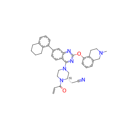 C=CC(=O)N1CCN(c2nc(Oc3cccc4c3CCN(C)C4)nc3cc(-c4cccc5c4CCCC5)ccc23)C[C@@H]1CC#N